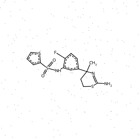 CC1(c2ccc(F)c(NS(=O)(=O)c3cccs3)c2)CCSC(N)=N1